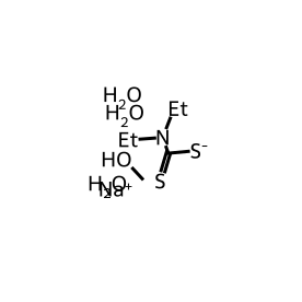 CCN(CC)C(=S)[S-].CO.O.O.O.[Na+]